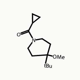 COC1(C(C)(C)C)CCN(C(=O)C2CC2)CC1